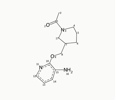 CC(=O)N1CCCC(COc2ncccc2N)C1